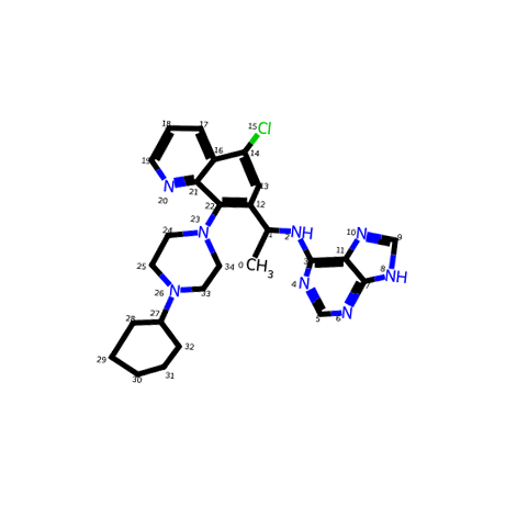 CC(Nc1ncnc2[nH]cnc12)c1cc(Cl)c2cccnc2c1N1CCN(C2CCCCC2)CC1